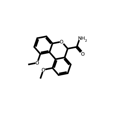 COc1cccc2c1-c1c(OC)cccc1C(C(N)=O)O2